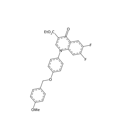 CCOC(=O)c1cn(-c2ccc(OCc3ccc(OC)cc3)cc2)c2cc(F)c(F)cc2c1=O